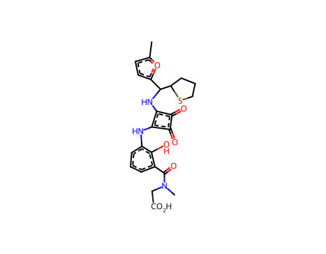 Cc1ccc(C(Nc2c(Nc3cccc(C(=O)N(C)CC(=O)O)c3O)c(=O)c2=O)C2CCCS2)o1